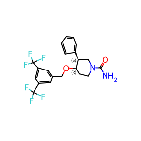 NC(=O)N1CC[C@@H](OCc2cc(C(F)(F)F)cc(C(F)(F)F)c2)[C@@H](c2ccccc2)C1